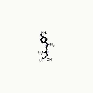 CCOP(O)C/C(N)=N/N=C(\N)c1ccc(CN)cc1